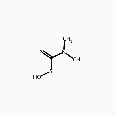 CN(C)C(=S)SO